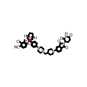 Cc1c(OC2C[C@H]3CC[C@@H](C2)N3C(=O)c2ccc(N3CCN(CC4CCN(c5ccc6c(c5)C(=O)N(C5CCC(=O)NC5=O)C6=O)CC4)CC3)cc2)ccc(C#N)c1Cl